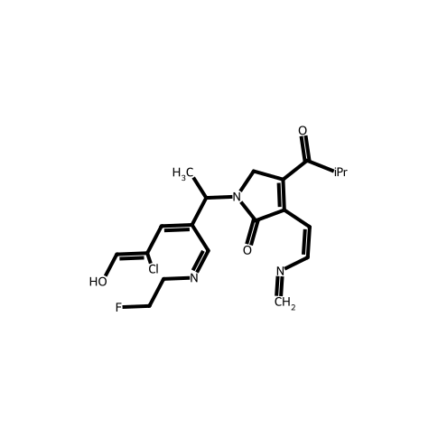 C=N/C=C\C1=C(C(=O)C(C)C)CN(C(C)C(/C=N\CCF)=C/C(Cl)=C/O)C1=O